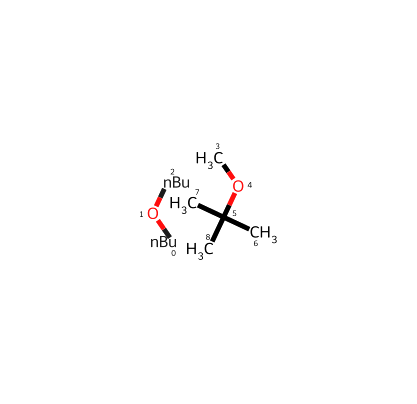 CCCCOCCCC.COC(C)(C)C